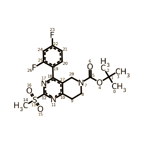 CC(C)(C)OC(=O)N1CCc2nc(S(C)(=O)=O)nc(-c3ccc(F)cc3F)c2C1